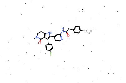 CN1CCc2[nH]c(-c3ccnc(NC(=O)Cc4ccc(C(=O)O)cc4)c3)c(-c3ccc(F)cc3)c2C1=O